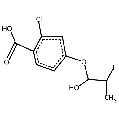 CC(I)C(O)Oc1ccc(C(=O)O)c(Cl)c1